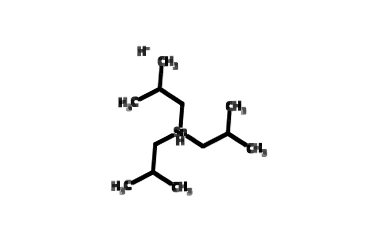 CC(C)[CH2][SnH]([CH2]C(C)C)[CH2]C(C)C.[H-]